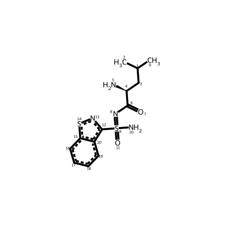 CC(C)C[C@H](N)C(=O)N=S(N)(=O)c1nsc2ccccc12